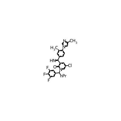 CCCC(c1cc(F)c(F)c(F)c1)n1cc(Cl)cc(C(=N)c2ccc(-n3cnc(C)c3)c(C)c2)c1=O